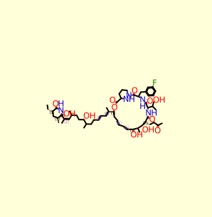 CC[C@H]1C[C@H](C)[C@@](O)(/C(C)=C\C(C)CCC(O)C(C)CC/C=C/C=C(\C)[C@@H]2C/C=C/C=C/[C@H](O)C(C)C(O)[C@@H](CCC(C)=O)C(=O)NC(C(C)C)C(=O)NC(Cc3cc(O)cc(F)c3)C(=O)N3CCCC(N3)C(=O)O2)NC1=O